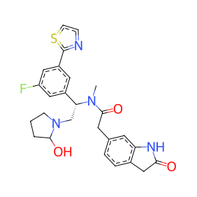 CN(C(=O)Cc1ccc2c(c1)NC(=O)C2)[C@H](CN1CCCC1O)c1cc(F)cc(-c2nccs2)c1